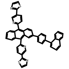 c1ccc2c(-c3ccc(-c4ccc5c(-c6ccc(-c7nccs7)cn6)c6ccccc6c(-c6ccc(-c7nccs7)cn6)c5c4)cc3)cccc2c1